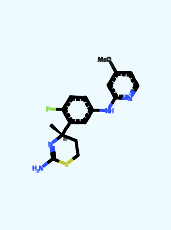 COc1ccnc(Nc2ccc(F)c([C@]3(C)CCSC(N)=N3)c2)c1